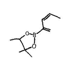 C=C(/C=C\C)B1OC(C)C(C)(C)O1